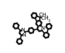 CC1(C)c2ccccc2-c2cc3c(-c4ccc(-c5nc(-c6ccccc6)cc(-c6ccccc6)n5)cc4)cc(-c4ccccc4-c4ccccc4)nc3cc21